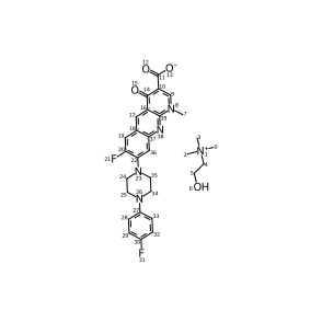 C[N+](C)(C)CCO.Cn1cc(C(=O)[O-])c(=O)c2cc3cc(F)c(N4CCN(c5ccc(F)cc5)CC4)cc3nc21